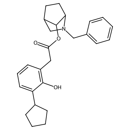 O=C(Cc1cccc(C2CCCC2)c1O)OC1C2CCC1N(Cc1ccccc1)C2